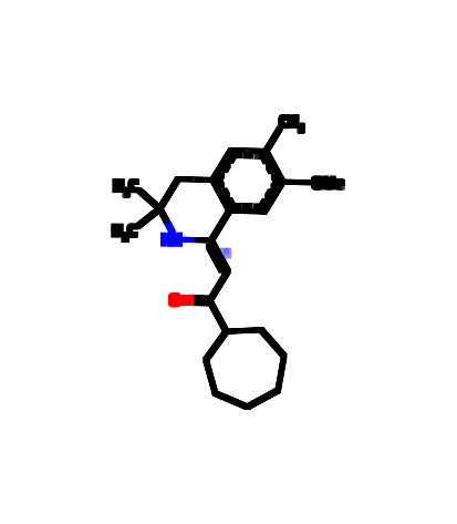 COc1cc2c(cc1C)CC(C)(C)N/C2=C\C(=O)C1CCCCCC1